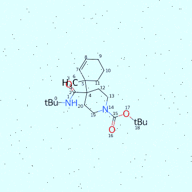 CC(C)(C)NC(=O)C1(C2(C)C=CCCC2)CCN(C(=O)OC(C)(C)C)CC1